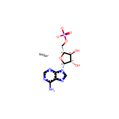 Nc1ncnc2c1ncn2[C@@H]1O[C@H](COP(=O)([O-])[O-])[C@@H](O)[C@@H]1O.[Na+].[Na+]